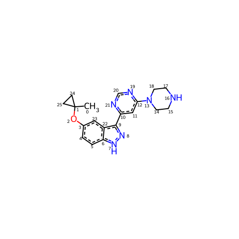 CC1(Oc2ccc3[nH]nc(-c4cc(N5CCNCC5)ncn4)c3c2)CC1